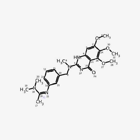 COc1cc2[nH]c(N(C)Cc3cccc(/N=C(/C)N(C)C)c3)nc(=O)c2c(OC)c1OC